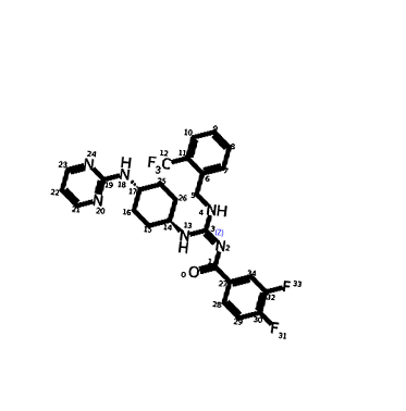 O=C(/N=C(/NCc1ccccc1C(F)(F)F)N[C@H]1CC[C@H](Nc2ncccn2)CC1)c1ccc(F)c(F)c1